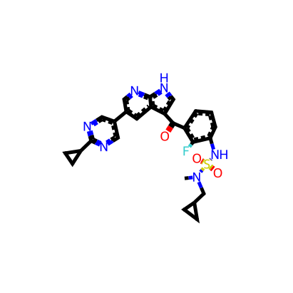 CN(CC1CC1)S(=O)(=O)Nc1cccc(C(=O)c2c[nH]c3ncc(-c4cnc(C5CC5)nc4)cc23)c1F